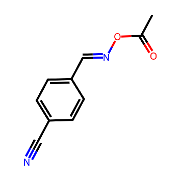 CC(=O)ON=Cc1ccc(C#N)cc1